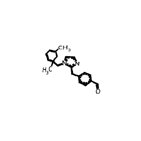 CC1=CC=CC(C)(Cn2ccnc2Cc2ccc(C=O)cc2)C1